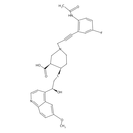 COc1ccc2nccc([C@H](O)CC[C@@H]3CCN(CC#Cc4cc(F)ccc4NC(C)=O)C[C@@H]3C(=O)O)c2c1